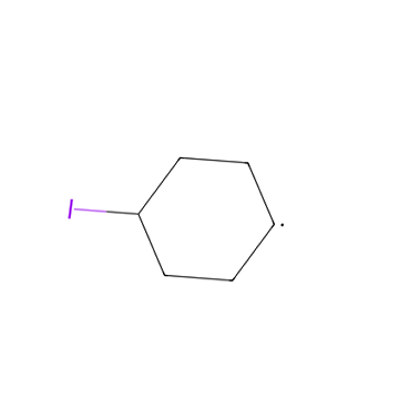 IC1CC[CH]CC1